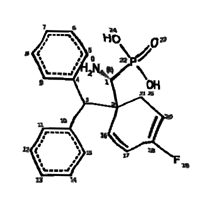 N[C@@H](C1(C(c2ccccc2)c2ccccc2)C=CC(F)=CC1)P(=O)(O)O